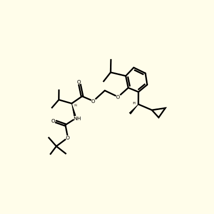 CC(C)c1cccc([C@H](C)C2CC2)c1OCOC(=O)[C@@H](NC(=O)OC(C)(C)C)C(C)C